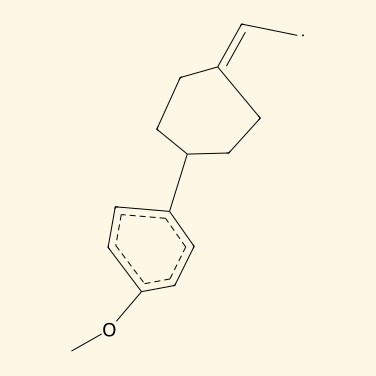 [CH2]C=C1CCC(c2ccc(OC)cc2)CC1